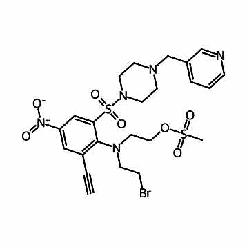 C#Cc1cc([N+](=O)[O-])cc(S(=O)(=O)N2CCN(Cc3cccnc3)CC2)c1N(CCBr)CCOS(C)(=O)=O